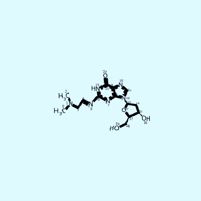 CN(C)CC=Nc1nc2c(ncn2[C@H]2C[C@H](O)[C@@H](CO)O2)c(=O)[nH]1